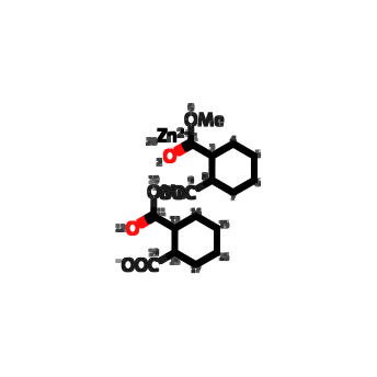 COC(=O)C1CCCCC1C(=O)[O-].COC(=O)C1CCCCC1C(=O)[O-].[Zn+2]